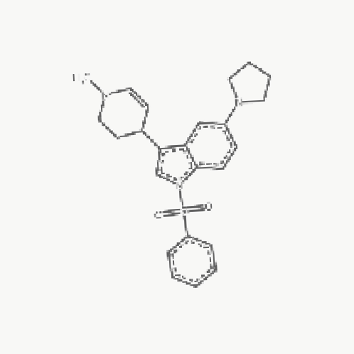 CN1C=CC(c2cn(S(=O)(=O)c3ccccc3)c3ccc(N4CCCC4)cc23)CC1